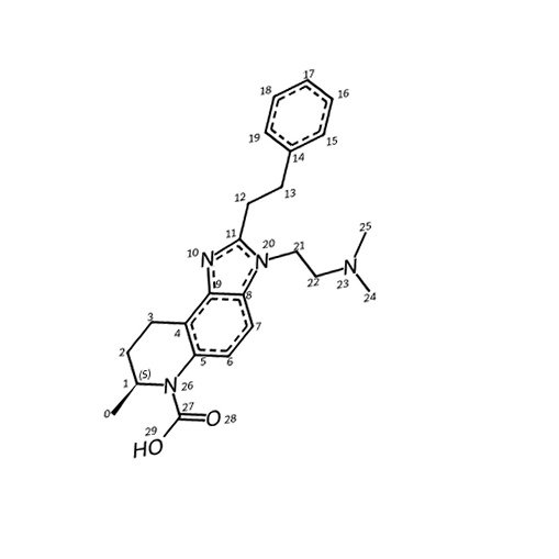 C[C@H]1CCc2c(ccc3c2nc(CCc2ccccc2)n3CCN(C)C)N1C(=O)O